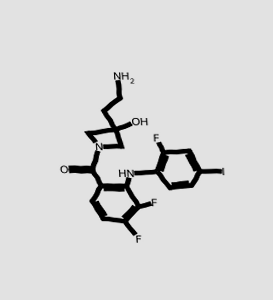 NCCC1(O)CN(C(=O)c2ccc(F)c(F)c2Nc2ccc(I)cc2F)C1